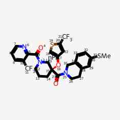 CCC[C@H]1N(C(=O)c2ncccc2C(F)(F)F)CCC[C@@]1(Oc1csc(C(F)(F)F)c1)C(=O)N1CCc2cc(SC)ccc2C1